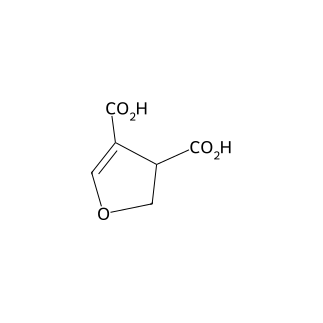 O=C(O)C1=COCC1C(=O)O